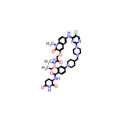 CCOc1cc(N2CCC(CN3CCN(c4ncc(Cl)c(Nc5ccc6c(c5)cc(OCC(=O)NC)c(=O)n6C)n4)CC3)CC2)ccc1C(=O)NC1CCC(=O)NC1=O